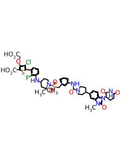 Cn1c(=O)n(C2CCC(=O)NC2=O)c2ccc(C3CCN(C(=O)Nc4cccc(CS(=O)(=O)N5CC[C@H](Nc6cccc(-c7sc(C(=O)O)c(OCC(=O)O)c7Cl)c6F)CC5(C)C)c4)CC3)cc21